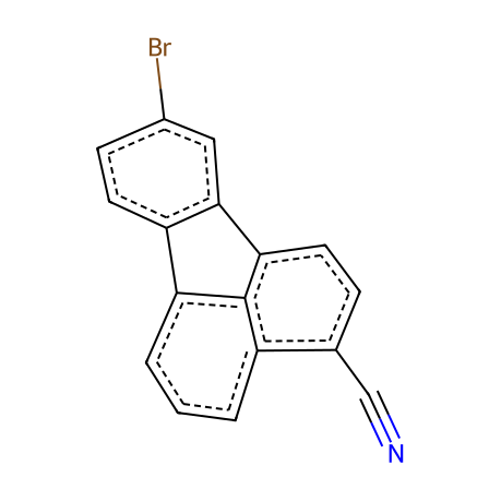 N#Cc1ccc2c3c(cccc13)-c1ccc(Br)cc1-2